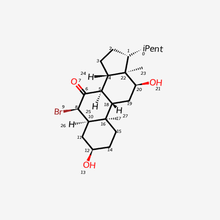 CCC[C@@H](C)[C@H]1CC[C@H]2[C@@H]3C(=O)[C@H](Br)[C@@H]4C[C@H](O)CC[C@]4(C)[C@H]3C[C@H](O)[C@]12C